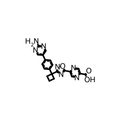 Nc1ncc(-c2ccc(C3(c4noc(-c5cnc(C(=O)O)cn5)n4)CCC3)cc2)cn1